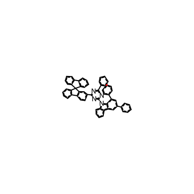 c1ccc(-c2cc(-c3ccccc3)c3c(c2)c2ccccc2n3-c2nc(-c3ccccc3)nc(-c3ccc4c(c3)C3(c5ccccc5-c5ccccc53)c3ccccc3-4)n2)cc1